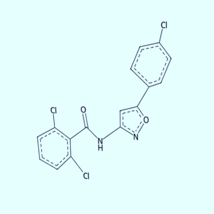 O=C(Nc1cc(-c2ccc(Cl)cc2)on1)c1c(Cl)cccc1Cl